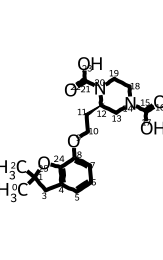 CC1(C)Cc2cccc(OCC[C@@H]3CN(C(=O)O)CCN3C(=O)O)c2O1